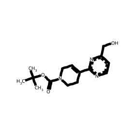 CC(C)(C)OC(=O)N1CC=C(c2nccc(CO)n2)CC1